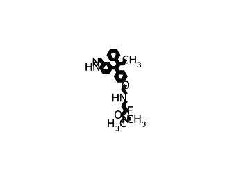 CCC(=C(c1ccc(OCCNCC=C(F)C(=O)N(C)C)cc1)c1ccc2[nH]ncc2c1)c1ccccc1